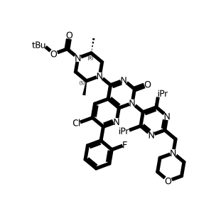 CC(C)c1nc(CN2CCOCC2)nc(C(C)C)c1-n1c(=O)nc(N2C[C@@H](C)N(C(=O)OC(C)(C)C)C[C@@H]2C)c2cc(Cl)c(-c3ccccc3F)nc21